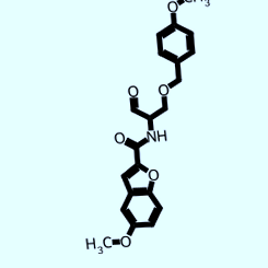 COc1ccc(COCC(C=O)NC(=O)c2cc3cc(OC)ccc3o2)cc1